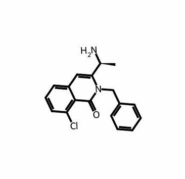 C[C@H](N)c1cc2cccc(Cl)c2c(=O)n1Cc1ccccc1